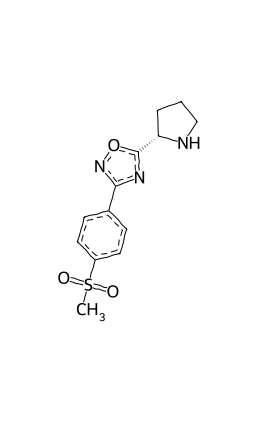 CS(=O)(=O)c1ccc(-c2noc([C@@H]3CCCN3)n2)cc1